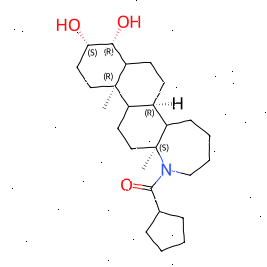 C[C@]12CC[C@H](O)[C@H](O)C1CC[C@@H]1C2CC[C@@]2(C)C1CCCCN2C(=O)C1CCCC1